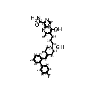 Cc1nc2c(C(N)=O)ncn2c(O)c1CCCN1CCC(=Cc2ccccc2-c2ccc(F)cc2)CC1.Cl